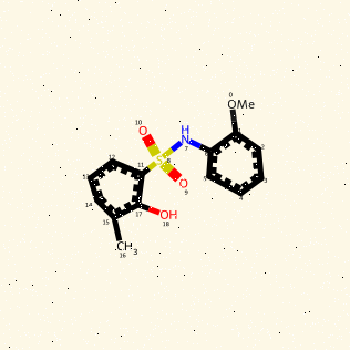 COc1ccccc1NS(=O)(=O)c1cccc(C)c1O